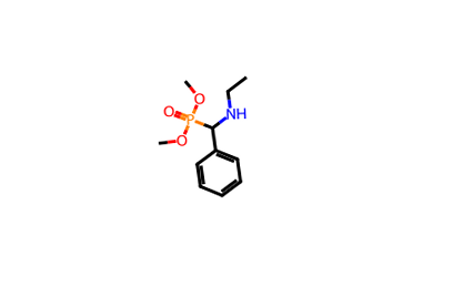 CCNC(c1ccccc1)P(=O)(OC)OC